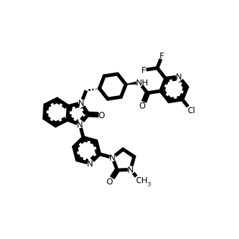 CN1CCN(c2cc(-n3c(=O)n(C[C@H]4CC[C@H](NC(=O)c5cc(Cl)cnc5C(F)F)CC4)c4ccccc43)ccn2)C1=O